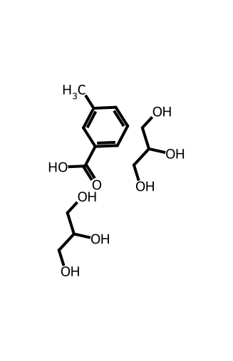 Cc1cccc(C(=O)O)c1.OCC(O)CO.OCC(O)CO